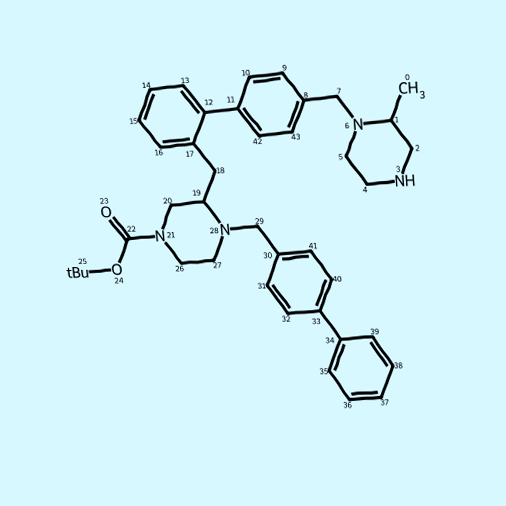 CC1CNCCN1Cc1ccc(-c2ccccc2CC2CN(C(=O)OC(C)(C)C)CCN2Cc2ccc(-c3ccccc3)cc2)cc1